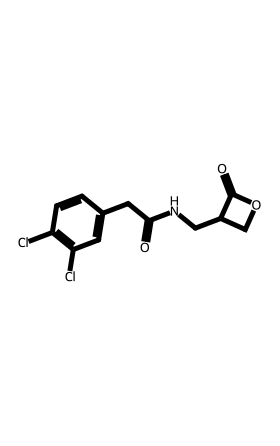 O=C(Cc1ccc(Cl)c(Cl)c1)NCC1COC1=O